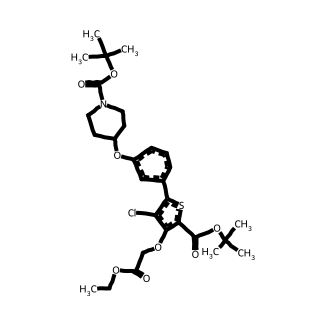 CCOC(=O)COc1c(C(=O)OC(C)(C)C)sc(-c2cccc(OC3CCN(C(=O)OC(C)(C)C)CC3)c2)c1Cl